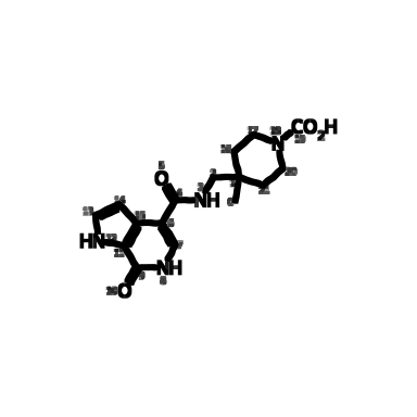 CC1(CNC(=O)c2c[nH]c(=O)c3[nH]ccc23)CCN(C(=O)O)CC1